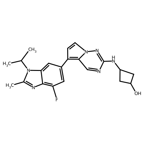 Cc1nc2c(F)cc(-c3ccn4nc(NC5CC(O)C5)ncc34)cc2n1C(C)C